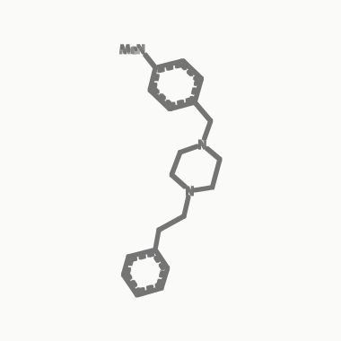 CNc1ccc(CN2CCN(CCc3ccccc3)CC2)cc1